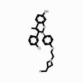 CC1=C(c2cccc(Cl)c2)[C@H](c2ccc(OCCN3CC(CF)C3)cc2)Oc2cc(O)ccc21